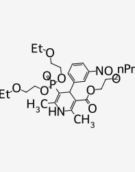 CCCOCCOC(=O)C1=C(C)NC(C)=C(P(=O)(OCCOCC)OCCOCC)C1c1cccc([N+](=O)[O-])c1